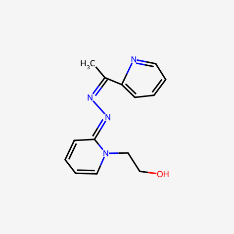 CC(=N/N=c1\ccccn1CCO)c1ccccn1